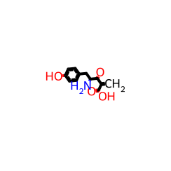 C=C(C(=O)O)C(=O)C(N)Cc1ccc(O)cc1